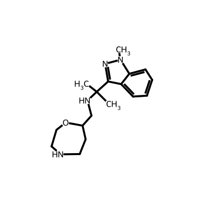 Cn1nc(C(C)(C)NCC2CCNCCO2)c2ccccc21